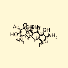 CC(=O)C1=C(O)[C@@H](N(C)C)C2CC3Cc4c(F)cc(N)c(O)c4C(=O)C3=C(O)[C@]2(O)C1=O